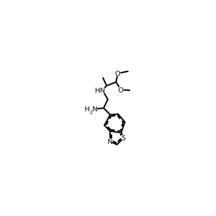 COC(OC)C(C)NCC(N)c1ccc2scnc2c1